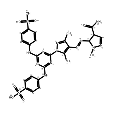 Cc1nn(-c2nc(Nc3ccc(S(=O)(=O)O)cc3)nc(Nc3ccc(S(=O)(=O)O)cc3)n2)c(N)c1/N=N/C1C(C(N)=O)C=NN1C